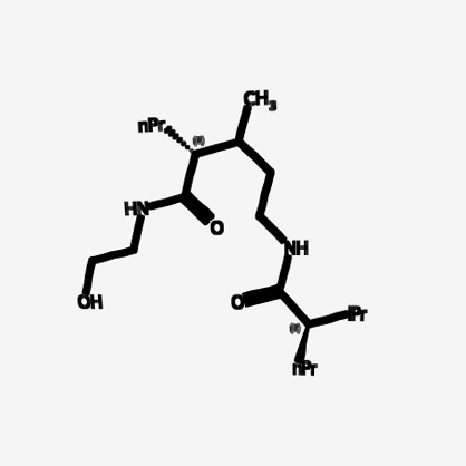 CCC[C@@H](C(=O)NCCC(C)[C@@H](CCC)C(=O)NCCO)C(C)C